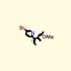 C=C(/C=C(/C)OC)/C(=C\C)c1ccc(Br)cn1